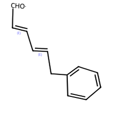 O=[C]/C=C/C=C/Cc1ccccc1